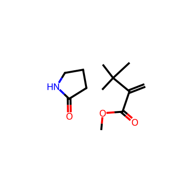 C=C(C(=O)OC)C(C)(C)C.O=C1CCCN1